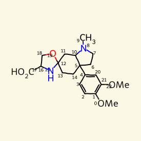 COc1ccc(C23CCN(C)C2CC2(CC3)NC(C(=O)O)CO2)cc1OC